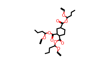 C=COC(CCC)OC(=O)C1CCC(C(=O)OC(CCC)OC=C)C(C(=O)OC(CCC)OC=C)C1